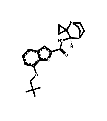 O=C(N[C@@H]1C2CCN(CC2)C12CC2)c1cc2cccc(OCC(F)(F)F)c2s1